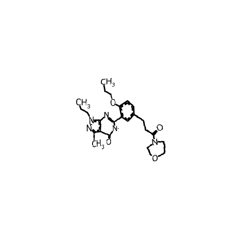 CCCOc1ccc(CCC(=O)N2CCOCC2)cc1C1=Nc2c(c(C)nn2CCC)C(=O)[N]1